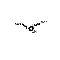 COCCCOc1cc(O)cc(OCCCOC)c1